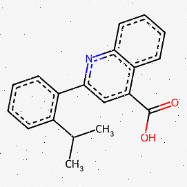 CC(C)c1ccccc1-c1cc(C(=O)O)c2ccccc2n1